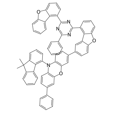 CC1(C)c2ccccc2-c2c(N3c4ccc(-c5ccccc5)cc4Oc4cc(-c5ccc6oc7cccc(-c8nc(-c9ccccc9)nc(-c9cccc%10oc%11ccccc%11c9%10)n8)c7c6c5)ccc43)cccc21